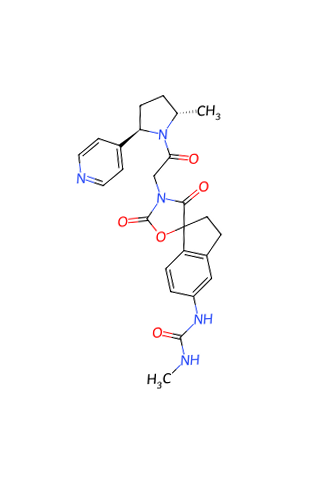 CNC(=O)Nc1ccc2c(c1)CCC21OC(=O)N(CC(=O)N2[C@@H](c3ccncc3)CC[C@@H]2C)C1=O